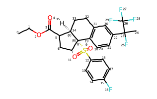 CCOC(=O)C1CC[C@]2(S(=O)(=O)c3ccc(F)cc3)c3ccc(C(C)(F)C(F)(F)F)cc3CC[C@H]12